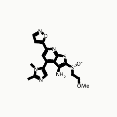 COCC[S+]([O-])c1sc2nc(-c3ccno3)cc(-c3cnc(C)n3C)c2c1N